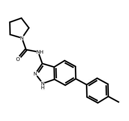 Cc1ccc(-c2ccc3c(NC(=O)N4CCCC4)n[nH]c3c2)cc1